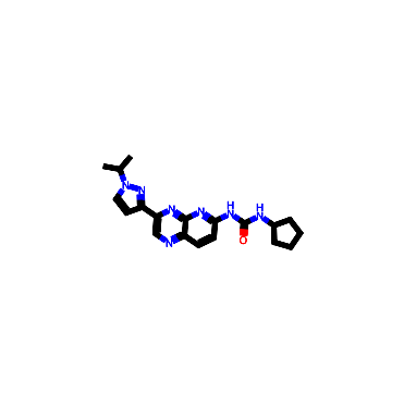 CC(C)n1ccc(-c2cnc3ccc(NC(=O)NC4CCCC4)nc3n2)n1